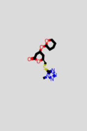 Cn1nnnc1SC[C@@H]1CC(OC2CCCCO2)CC(=O)O1